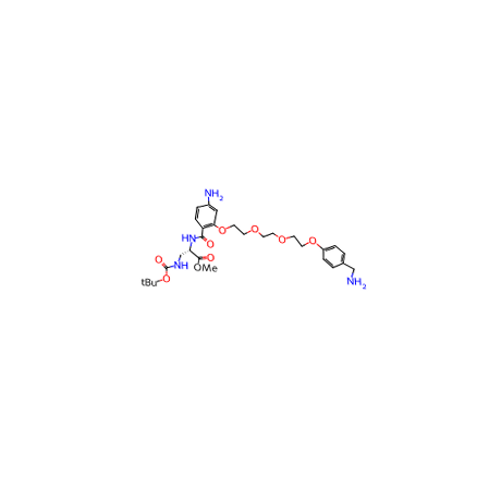 COC(=O)[C@H](CNC(=O)OC(C)(C)C)NC(=O)c1ccc(N)cc1OCCOCCOCCOc1ccc(CN)cc1